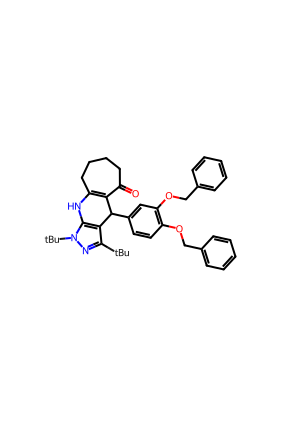 CC(C)(C)c1nn(C(C)(C)C)c2c1C(c1ccc(OCc3ccccc3)c(OCc3ccccc3)c1)C1=C(CCCCC1=O)N2